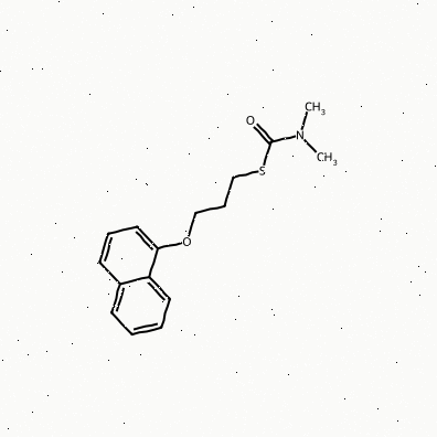 CN(C)C(=O)SCCCOc1cccc2ccccc12